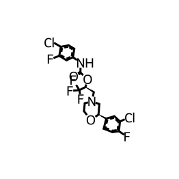 O=C(Nc1ccc(Cl)c(F)c1)O[C@@H](CN1CCO[C@H](c2ccc(F)c(Cl)c2)C1)C(F)(F)F